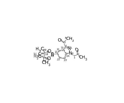 CC(=O)Cn1nc(C(C)=O)c2cc(B3OC(C)(C)C(C)(C)O3)ccc21